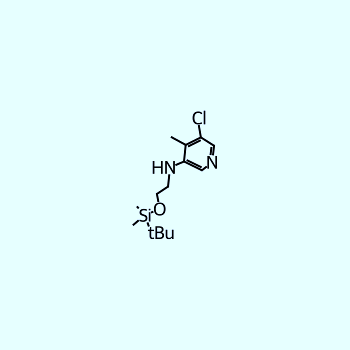 Cc1c(Cl)cncc1NCCO[Si](C)(C)C(C)(C)C